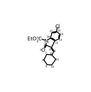 CCOC(=O)N1C(=O)C(=CC2CCCCC2)c2ccc(Cl)cc21